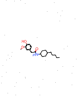 CCCCCC1CCC(NC(=O)Cc2ccc(O)c(OC)c2)CC1